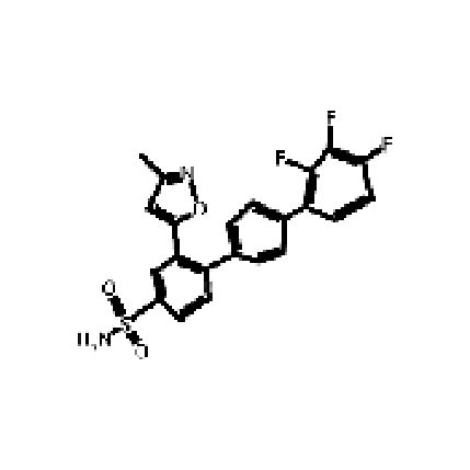 Cc1cc(-c2cc(S(N)(=O)=O)ccc2-c2ccc(-c3ccc(F)c(F)c3F)cc2)on1